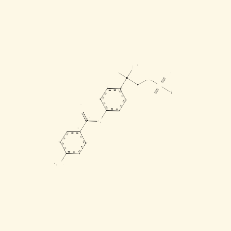 CC(C)S(=O)(=O)NCC(C)(F)c1ccc(NC(=O)c2ccc(C#N)cc2)cc1